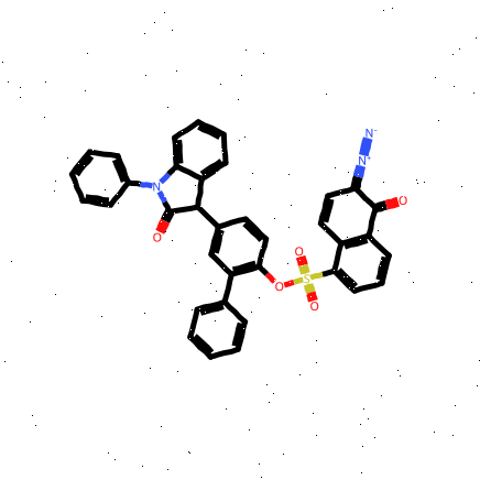 [N-]=[N+]=C1C=Cc2c(cccc2S(=O)(=O)Oc2ccc(C3C(=O)N(c4ccccc4)c4ccccc43)cc2-c2ccccc2)C1=O